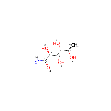 C[C@@H](O)[C@@H](O)[C@H](O)[C@H](O)C(N)=O